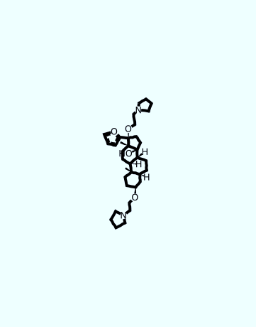 C[C@]12CC[C@H](OCCN3CCCC3)C[C@@H]1CC[C@@H]1[C@@H]2CC[C@]2(C)[C@@](OCCN3CCCC3)(c3ccco3)CC[C@]12O